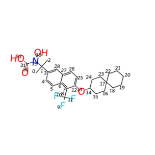 CC(C)(c1ccc2c(C(F)(F)F)c(OC3CCC4(CCCCC4)CC3)ccc2c1)N(O)C(=O)O